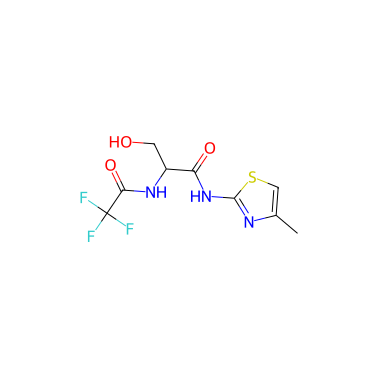 Cc1csc(NC(=O)C(CO)NC(=O)C(F)(F)F)n1